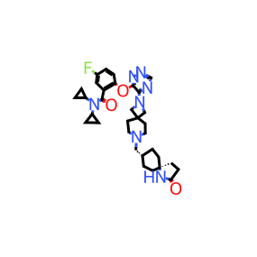 O=C1CC[C@]2(CC[C@@H](CN3CCC4(CC3)CN(c3ncnnc3Oc3ccc(F)cc3C(=O)N(C3CC3)C3CC3)C4)CC2)N1